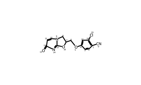 N#Cc1ccc(OCC2Cn3ccc(=O)nc3O2)cc1Cl